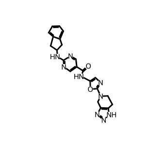 O=C(Nc1cnc(N2CCc3[nH]nnc3C2)o1)c1cnc(NC2Cc3ccccc3C2)nc1